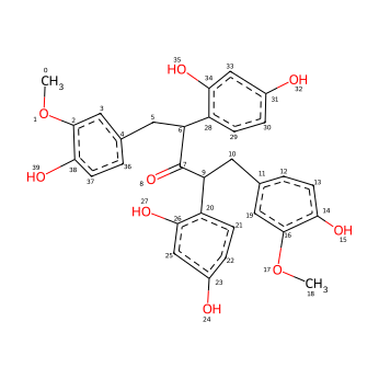 COc1cc(CC(C(=O)C(Cc2ccc(O)c(OC)c2)c2ccc(O)cc2O)c2ccc(O)cc2O)ccc1O